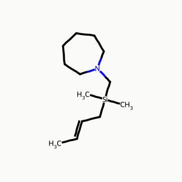 C/C=C/C[Si](C)(C)CN1CCCCCC1